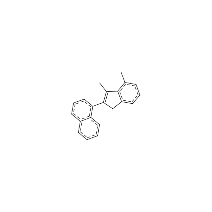 CC1=C(c2cccc3ccccc23)[CH]c2cccc(C)c21